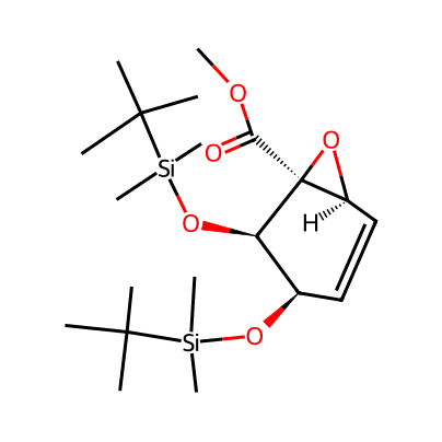 COC(=O)[C@]12O[C@H]1C=C[C@@H](O[Si](C)(C)C(C)(C)C)[C@H]2O[Si](C)(C)C(C)(C)C